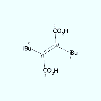 CCC(C)/C(C(=O)O)=C(\C(=O)O)C(C)CC